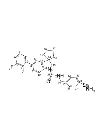 Cc1c(F)cccc1-c1ccc2c(c1)C1(CCCC1)CN2C(=O)NCc1ccc(SN)cc1